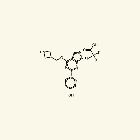 O=C(O)C(F)(F)F.Oc1ccc(-c2nc(OCC3CNC3)c3cn[nH]c3n2)cc1